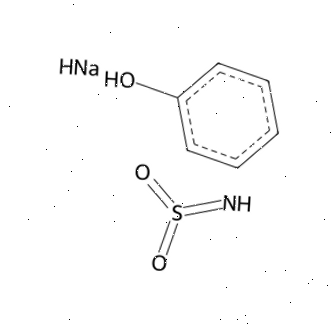 N=S(=O)=O.Oc1ccccc1.[NaH]